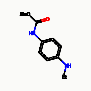 CCNc1ccc(NC(=O)OC)cc1